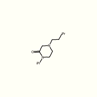 CC(C)CCN1CCN(C(C)C)C(=O)C1